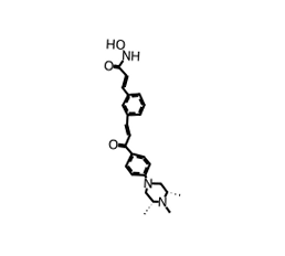 C[C@@H]1CN(c2ccc(C(=O)C=Cc3cccc(C=CC(=O)NO)c3)cc2)C[C@H](C)N1C